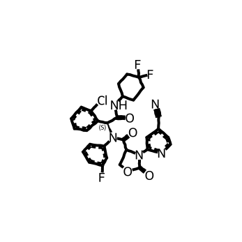 N#Cc1ccnc(N2C(=O)OCC2C(=O)N(c2cccc(F)c2)[C@H](C(=O)NC2CCC(F)(F)CC2)c2ccccc2Cl)c1